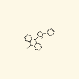 Brc1c2ccccc2c(-c2ccc(-c3ccccc3)s2)c2ccccc12